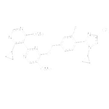 COc1cnc(-c2c(OC)ncnc2C2CC2)nc1OCc1ccc(-c2nc(C(F)(F)F)cn2C2CC2)c(F)c1